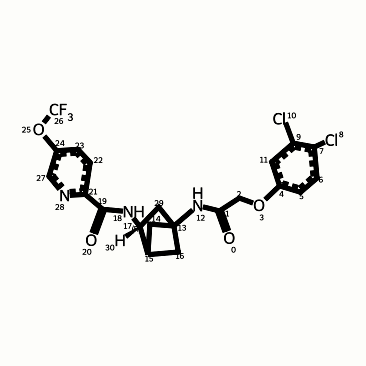 O=C(COc1ccc(Cl)c(Cl)c1)NC12CC(C1)[C@H](NC(=O)c1ccc(OC(F)(F)F)cn1)C2